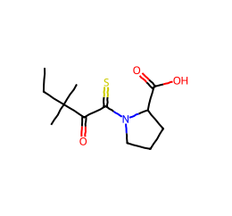 CCC(C)(C)C(=O)C(=S)N1CCCC1C(=O)O